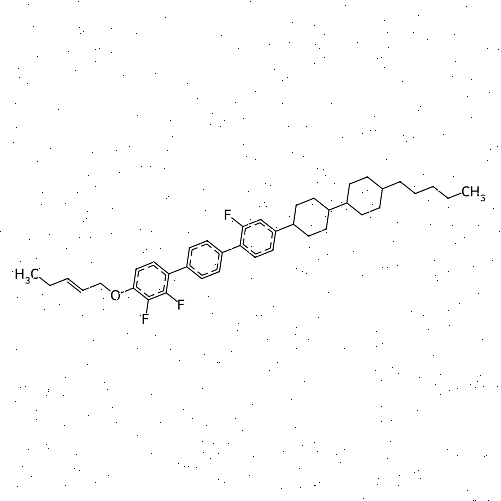 CC/C=C/COc1ccc(-c2ccc(-c3ccc(C4CCC(C5CCC(CCCCC)CC5)CC4)cc3F)cc2)c(F)c1F